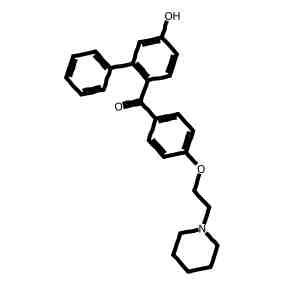 O=C(c1ccc(OCCN2CCCCC2)cc1)c1ccc(O)cc1-c1ccccc1